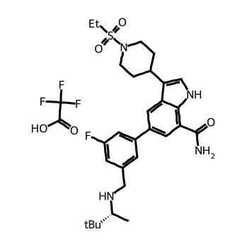 CCS(=O)(=O)N1CCC(c2c[nH]c3c(C(N)=O)cc(-c4cc(F)cc(CN[C@H](C)C(C)(C)C)c4)cc23)CC1.O=C(O)C(F)(F)F